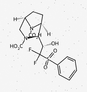 O=C(O)N1C[C@H]2CC[C@@H]([C@H]1[C@H](O)C(F)(F)S(=O)(=O)c1ccccc1)N2C(=O)O